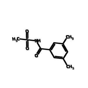 Cc1cc(C)cc(C(=O)NS(C)(=O)=O)c1